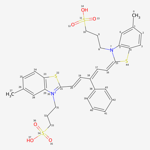 Cc1ccc2c(c1)N(CCCS(=O)(=O)O)C(=CC=C(C=Cc1sc3ccc(C)cc3[n+]1CCCS(=O)(=O)O)c1ccccc1)S2